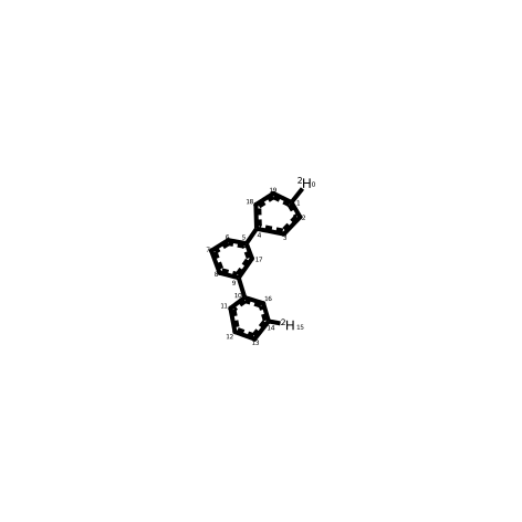 [2H]c1ccc(-c2cccc(-c3cccc([2H])c3)c2)cc1